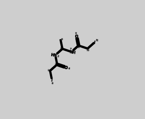 CC(NC(=O)CI)NC(=O)CI